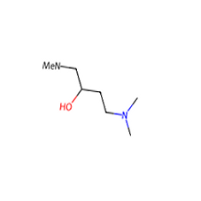 CNCC(O)CCN(C)C